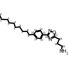 CCCCCCCCCCc1ccc(-c2noc(CCCN)n2)cc1